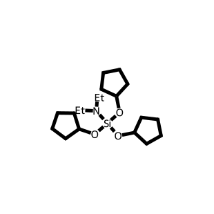 CCN(CC)[Si](OC1CCCC1)(OC1CCCC1)OC1CCCC1